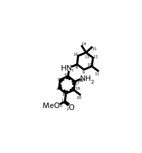 COC(=O)c1ccc(NC2CC(C)CC(C)(C)C2)c(N)c1C